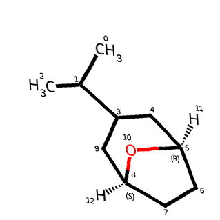 CC(C)C1C[C@H]2CC[C@@H](C1)O2